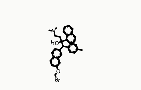 Cc1ccc(C(c2ccc3ccc(OCBr)cc3c2)C(O)(CCN(C)C)c2cccc3ccccc23)cc1